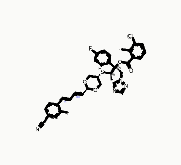 [CH2]c1c(Cl)cccc1C(=O)O[C@@](Cn1cncn1)(c1ccc(F)cc1F)[C@@H](C)S[C@H]1CO[C@H](/C=C/C=C/c2ccc(C#N)cc2F)OC1